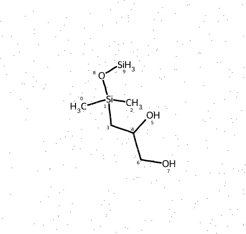 C[Si](C)(CC(O)CO)O[SiH3]